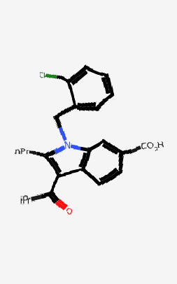 CCCc1c(C(=O)C(C)C)c2ccc(C(=O)O)cc2n1Cc1ccccc1Cl